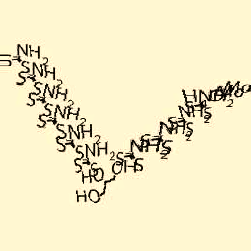 NC(=S)[S-].NC(=S)[S-].NC(=S)[S-].NC(=S)[S-].NC(=S)[S-].NC(=S)[S-].NC(=S)[S-].NC(=S)[S-].NC(=S)[S-].NC(=S)[S-].OCC(O)CO.[Mo+4].[Mo+4].[OH4+2]